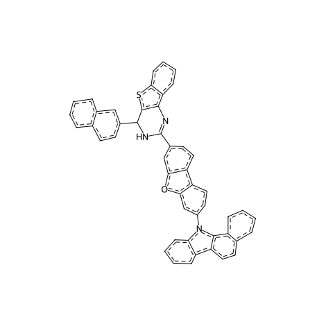 c1ccc2cc(C3NC(c4ccc5c(c4)oc4cc(-n6c7ccccc7c7ccc8ccccc8c76)ccc45)=Nc4c3sc3ccccc43)ccc2c1